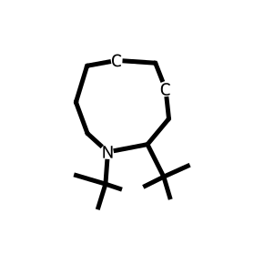 CC(C)(C)C1CCCCCCCN1C(C)(C)C